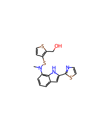 CN(Sc1ccsc1CO)c1cccc2cc(-c3nccs3)[nH]c12